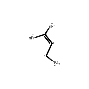 CCCC(=CC[N+](=O)[O-])CCC